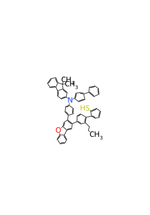 CCCc1cc(-c2cc3c(cc2-c2ccc(N(c4ccc(-c5ccccc5)cc4)c4ccc5c(c4)C(C)(C)c4ccccc4-5)cc2)oc2ccccc23)ccc1-c1ccccc1S